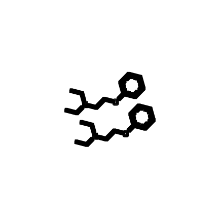 CCN(CC)CCOc1ccccc1.CCN(CC)CCOc1ccccc1